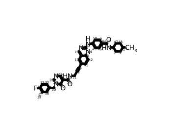 CC1CCC(NC(=O)c2ccc(Nc3ncc4cc(C#CCNC(=O)c5cncn(Cc6ccc(F)c(F)c6)c5=O)ccc4n3)cc2)CC1